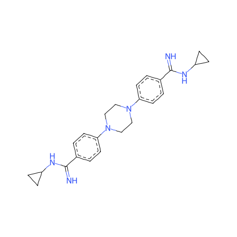 N=C(NC1CC1)c1ccc(N2CCN(c3ccc(C(=N)NC4CC4)cc3)CC2)cc1